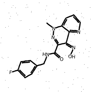 Cn1nc(C(=O)NCc2ccc(F)cc2)c(=NO)c2ncccc21